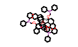 C1=C[C](OCP(c2ccccc2)c2ccccc2)([Pd][C]2(OCP(c3ccccc3)c3ccccc3)C=Cc3ccccc3C2c2c(OCP(c3ccccc3)c3ccccc3)ccc3ccccc23)C(c2c(OCP(c3ccccc3)c3ccccc3)ccc3ccccc23)c2ccccc21